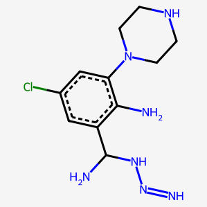 N=NNC(N)c1cc(Cl)cc(N2CCNCC2)c1N